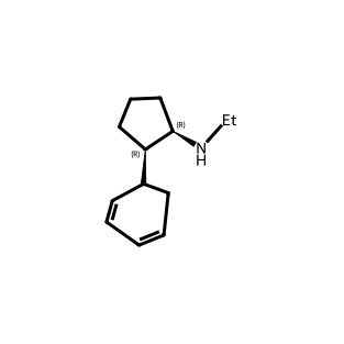 CCN[C@@H]1CCC[C@@H]1C1C=CC=CC1